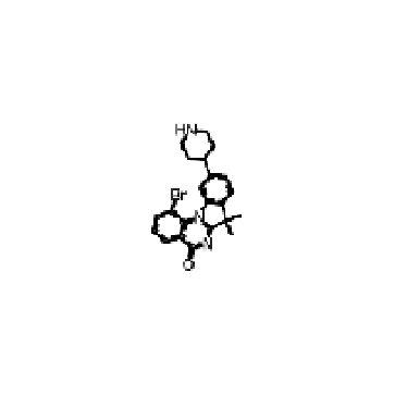 CC1(C)c2ccc(C3CCNCC3)cc2-n2c1nc(=O)c1cccc(Br)c12